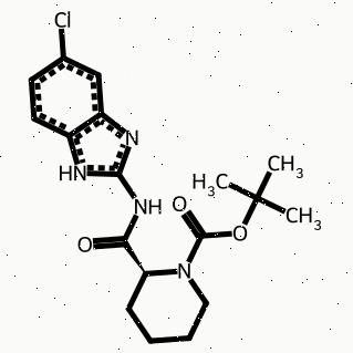 CC(C)(C)OC(=O)N1CCCC[C@H]1C(=O)Nc1nc2cc(Cl)ccc2[nH]1